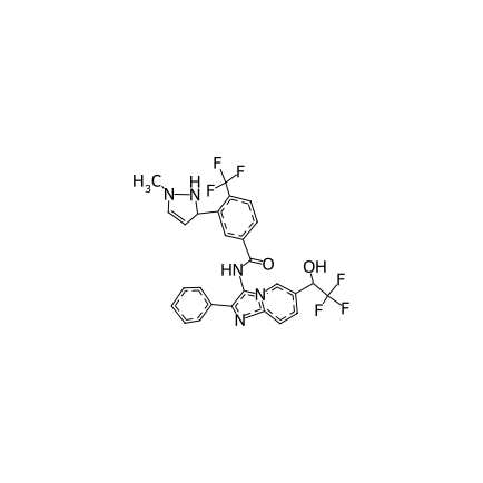 CN1C=CC(c2cc(C(=O)Nc3c(-c4ccccc4)nc4ccc(C(O)C(F)(F)F)cn34)ccc2C(F)(F)F)N1